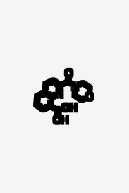 O=C(c1ccc2cccc(B(O)O)c2n1)N1CCOCC1